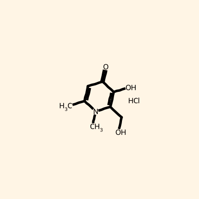 Cc1cc(=O)c(O)c(CO)n1C.Cl